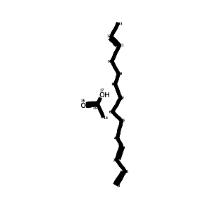 C=C/C=C/CCCCCCCC=CC.CC(=O)O